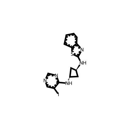 Ic1cncnc1N[C@H]1C[C@H](Nc2nc3ccccc3s2)C1